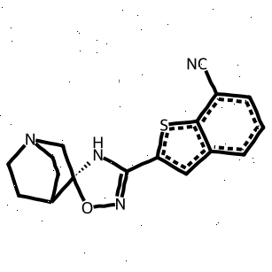 N#Cc1cccc2cc(C3=NO[C@@]4(CN5CCC4CC5)N3)sc12